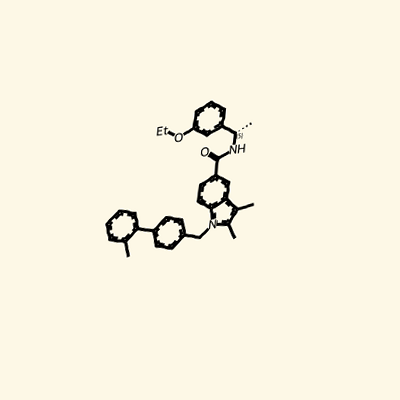 CCOc1cccc([C@H](C)NC(=O)c2ccc3c(c2)c(C)c(C)n3Cc2ccc(-c3ccccc3C)cc2)c1